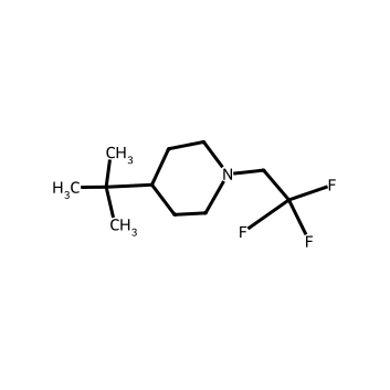 CC(C)(C)C1CCN(CC(F)(F)F)CC1